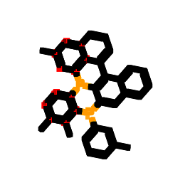 Cc1cccc(P(c2cccc(C)c2)c2cc3ccccc3c(-c3cccc4ccccc34)c2P(c2cccc(C)c2)c2cccc(C)c2)c1